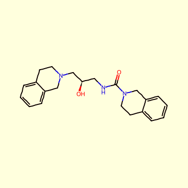 O=C(NC[C@@H](O)CN1CCc2ccccc2C1)N1CCc2ccccc2C1